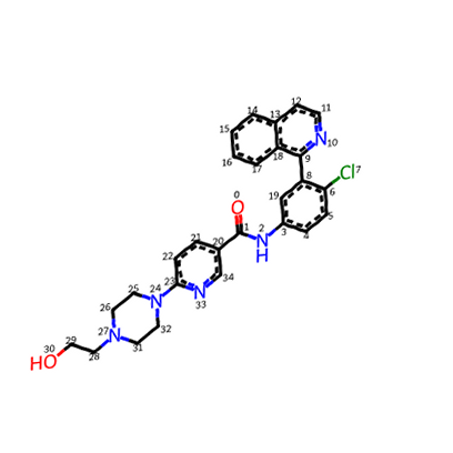 O=C(Nc1ccc(Cl)c(-c2nccc3ccccc23)c1)c1ccc(N2CCN(CCO)CC2)nc1